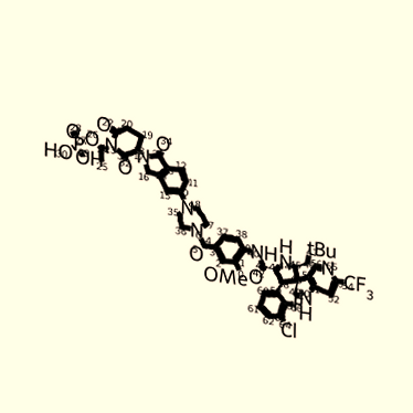 COc1cc(C(=O)N2CCN(c3ccc4c(c3)CN(C3CCC(=O)N(C(C)OP(=O)(O)O)C3=O)C4=O)CC2)ccc1NC(=O)[C@@H]1N[C@@H](CC(C)(C)C)[C@@]2(CNc3cc(C(F)(F)F)ncc32)[C@H]1c1cccc(Cl)c1F